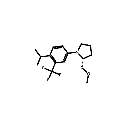 COC[C@H]1CCCN1c1ccc(C(C)C)c(C(F)(F)F)c1